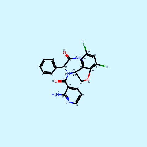 NC(=O)[C@@H](c1ccccc1)N(C(=O)c1cccnc1N)[C@@H]1COc2c(F)cc(F)cc21